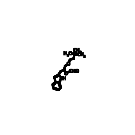 C[Si](C)(C)CCOCC(Cc1cc2ccccc2[nH]1)OC=O